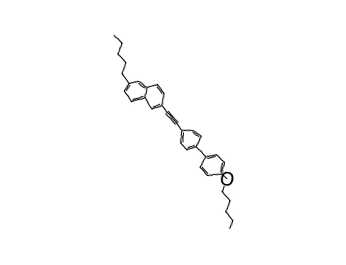 CCCCCOc1ccc(-c2ccc(C#Cc3ccc4cc(CCCCC)ccc4c3)cc2)cc1